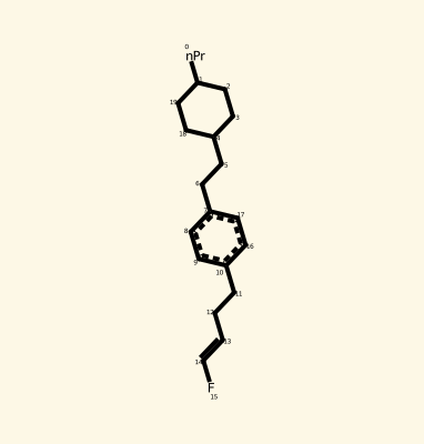 CCCC1CCC(CCc2ccc(CCC=CF)cc2)CC1